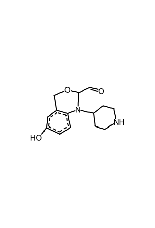 O=CC1OCc2cc(O)ccc2N1C1CCNCC1